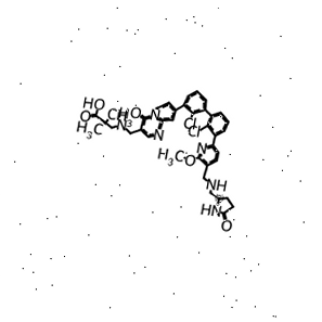 COc1nc(-c2cccc(-c3cccc(-c4ccn5c(=O)c(CNCC(C)(C)C(=O)O)cnc5c4)c3Cl)c2Cl)ccc1CNC[C@H]1CCC(=O)N1